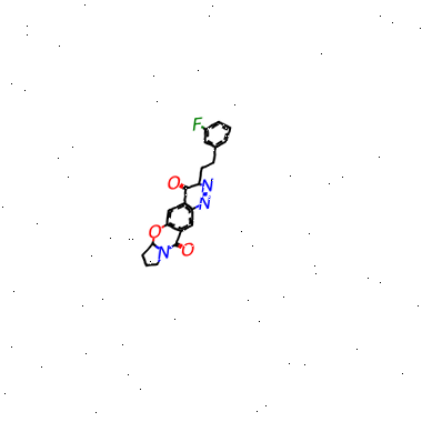 O=C1c2cc3c(cc2N=NC1CCc1cccc(F)c1)C(=O)N1CCCC1O3